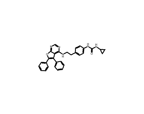 O=C(Nc1ccc(CCNc2ncnc3oc(-c4ccccc4)c(-c4ccccc4)c23)cc1)NC1CC1